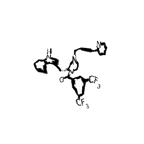 O=C(c1cc(C(F)(F)F)cc(C(F)(F)F)c1)N1CCN(CC#Cc2ccccn2)C[C@H]1Cc1c[nH]c2ccccc12